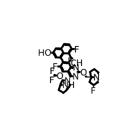 C#Cc1c(F)ccc2cc(O)cc(-c3c(F)c(OC(F)F)c4c(N5CC6CCC(C5)N6)nc(OC[C@@]56CCCN5C[C@H](F)C6)nc4c3F)c12